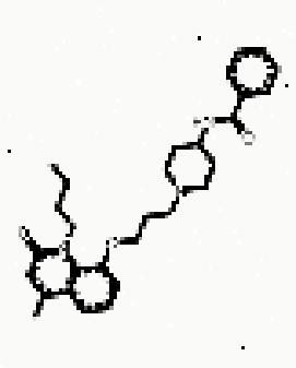 CCCCn1c(=O)cc(C)c2cccc(OCCCN3CCC(NC(=O)c4ccccc4)CC3)c21